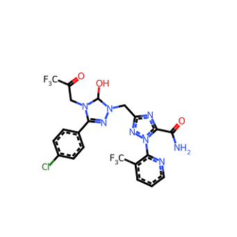 NC(=O)c1nc(CN2N=C(c3ccc(Cl)cc3)N(CC(=O)C(F)(F)F)C2O)nn1-c1ncccc1C(F)(F)F